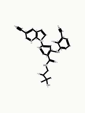 CC(C)(O)C(F)CNC(=O)c1cnc(-n2ccc3cc(C#N)cnc32)cc1Nc1cccc(C#N)c1F